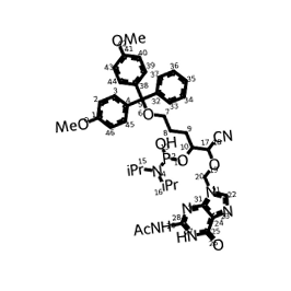 COc1ccc(C(OCCCC(OP(O)N(C(C)C)C(C)C)C(C#N)OCn2cnc3c(=O)[nH]c(NC(C)=O)nc32)(c2ccccc2)c2ccc(OC)cc2)cc1